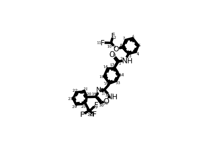 O=C(Nc1ccccc1OC(F)F)c1ccc(C2=NC(c3ccccc3C(F)(F)F)=CON2)cc1